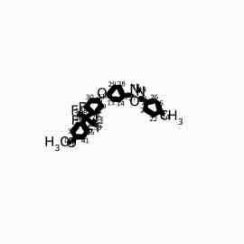 COc1ccc(C(c2ccc(Oc3ccc(-c4nnc(-c5ccc(C)cc5)o4)cc3)cc2)(C(F)(F)F)C(F)(F)F)cc1